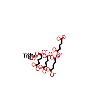 O=C([O-])CCCC(=O)[O-].O=C([O-])CCCC(=O)[O-].O=C([O-])CCCC(=O)[O-].O=C([O-])CCCC(=O)[O-].[O-2].[O-2].[Ti+4].[Ti+4].[Ti+4]